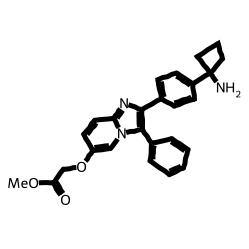 COC(=O)COc1ccc2nc(-c3ccc(C4(N)CCC4)cc3)c(-c3ccccc3)n2c1